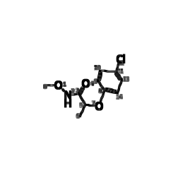 CONC(=O)C(C)Oc1ccc(Cl)cc1